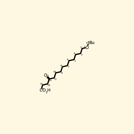 CC(C)(C)OCCCCCCCCCCC(=O)CCC(=O)O